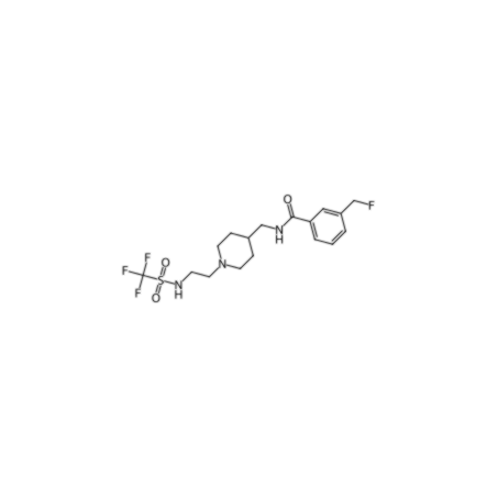 O=C(NCC1CCN(CCNS(=O)(=O)C(F)(F)F)CC1)c1cccc(CF)c1